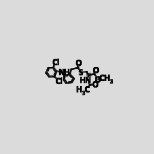 COC(=O)[C@H](CSC(=O)Cc1ccccc1Nc1c(Cl)cccc1Cl)NC(C)=O